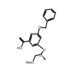 C=C(O)c1cc(OCc2ccccc2)cc(O[C@@H](C)COC)c1